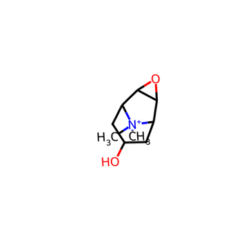 C[N+]1(C)C2CC(O)CC1C1OC12